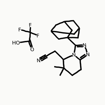 CC1(C)CCc2nnc(C34CC5CC(CC(C5)C3)C4)n2C1CC#N.O=C(O)C(F)(F)F